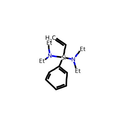 C=C[Si](c1ccccc1)(N(CC)CC)N(CC)CC